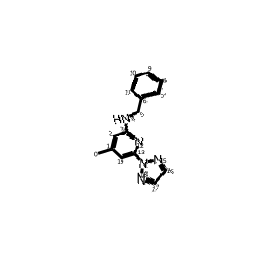 Cc1cc(NCc2ccccc2)nc(-n2nccn2)c1